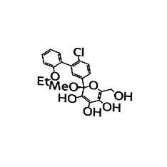 CCOc1ccccc1-c1cc([C@]2(OC)OC(CO)=C(O)C(O)=C2O)ccc1Cl